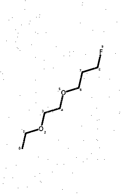 CCOCCOCCCF